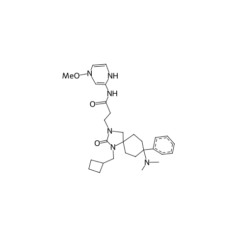 CON1C=CNC(NC(=O)CCN2CC3(CCC(c4ccccc4)(N(C)C)CC3)N(CC3CCC3)C2=O)=C1